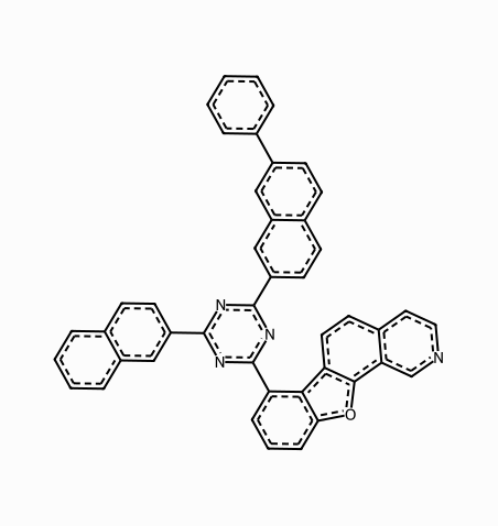 c1ccc(-c2ccc3ccc(-c4nc(-c5ccc6ccccc6c5)nc(-c5cccc6oc7c8cnccc8ccc7c56)n4)cc3c2)cc1